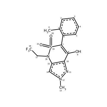 Cc1ccccc1C1=C(O)c2nn(C)cc2N(CC(F)(F)F)S1(=O)=O